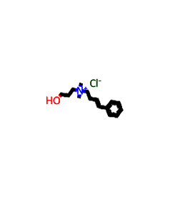 C[N+](C)(CCC=Cc1ccccc1)CCCO.[Cl-]